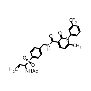 C=CC(NC(C)=O)S(=O)(=O)c1ccc(CNC(=O)c2ccc(C)n(-c3cccc(C(F)(F)F)c3)c2=O)cc1